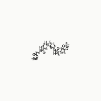 Cc1ccc(NC(=O)C2(c3ccc4c(c3)OC(F)(F)O4)CC2)nc1-c1cccc(C(=O)NCCC(=O)OC(C)(C)C)c1